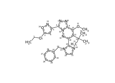 CCOc1cc(-c2nnc3c(OC)c(C(C)(C)C)c(-c4nccn4Cc4ccccc4)nn23)no1